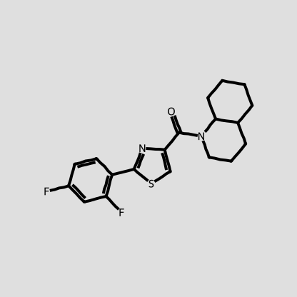 O=C(c1csc(-c2ccc(F)cc2F)n1)N1CCCC2CCCCC21